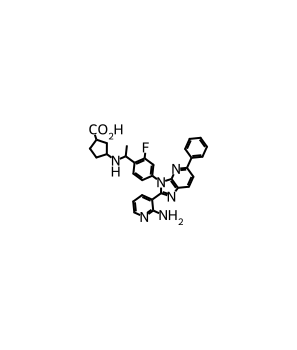 CC(NC1CCC(C(=O)O)C1)c1ccc(-n2c(-c3cccnc3N)nc3ccc(-c4ccccc4)nc32)cc1F